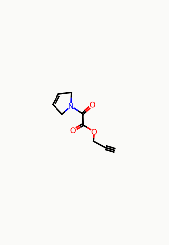 C#CCOC(=O)C(=O)N1CC=CC1